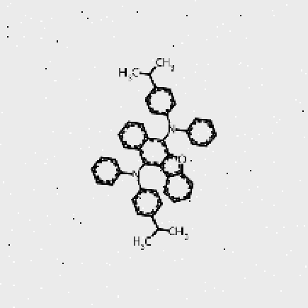 CC(C)c1ccc(N(c2ccccc2)c2c3ccccc3c(N(c3ccccc3)c3ccc(C(C)C)cc3)c3c2oc2ccccc23)cc1